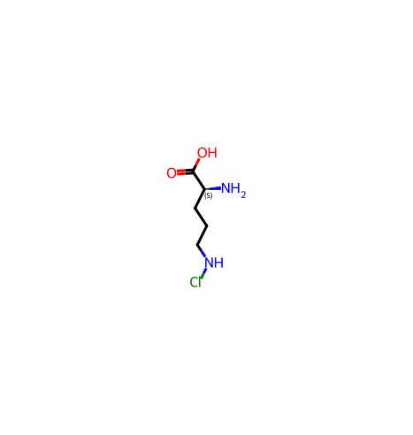 N[C@@H](CCCNCl)C(=O)O